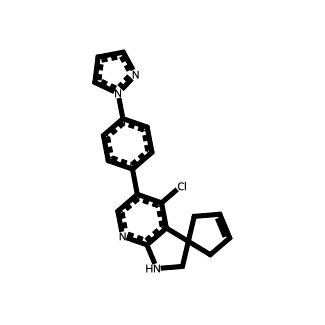 Clc1c(-c2ccc(-n3cccn3)cc2)cnc2c1C1(CC=CC1)CN2